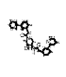 O=C(Cc1cccc(-c2ccccn2)c1)NC1CCN(C(=O)Cc2cccc(-c3ccccn3)c2)CC1O